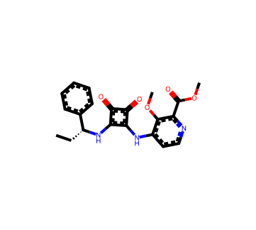 CC[C@@H](Nc1c(Nc2ccnc(C(=O)OC)c2OC)c(=O)c1=O)c1ccccc1